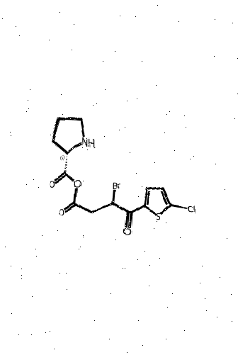 O=C(CC(Br)C(=O)c1ccc(Cl)s1)OC(=O)[C@@H]1CCCN1